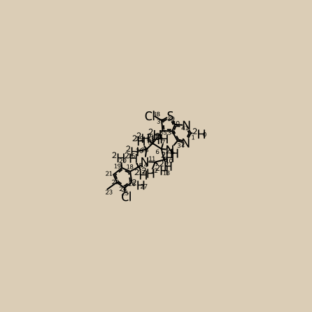 [2H]c1nc(N([2H])C2([2H])C([2H])([2H])C([2H])([2H])N(C([2H])([2H])c3c([2H])cc(C)c(Cl)c3[2H])C([2H])([2H])C2([2H])[2H])c2c([2H])c(Cl)sc2n1